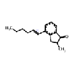 CCCC/C=C/c1cccc2c1CC(C)C2=O